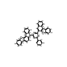 c1ccc(-c2nc(-c3cc4ccccc4c4c3oc3ccccc34)nc(-n3c4ccccc4c4c5oc6ccccc6c5ccc43)n2)cc1